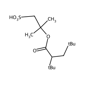 CC(C)(C)CC(C(=O)OC(C)(C)CS(=O)(=O)O)C(C)(C)C